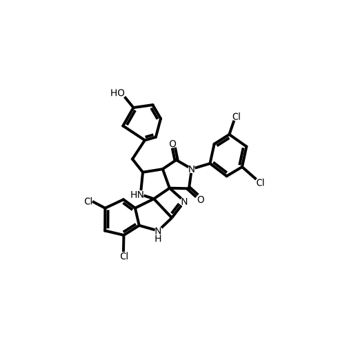 O=C1C2C(Cc3cccc(O)c3)NC34C(=NC23C(=O)N1c1cc(Cl)cc(Cl)c1)Nc1c(Cl)cc(Cl)cc14